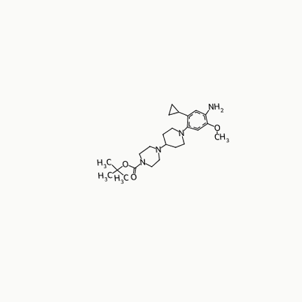 COc1cc(N2CCC(N3CCN(C(=O)OC(C)(C)C)CC3)CC2)c(C2CC2)cc1N